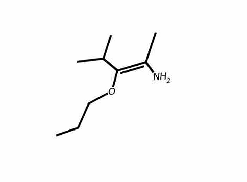 CCCO/C(=C(/C)N)C(C)C